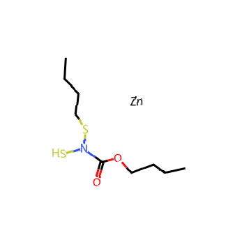 CCCCOC(=O)N(S)SCCCC.[Zn]